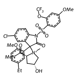 CCc1ccc(OC)c(C2([N+]3(C)C[C@H](O)C[C@H]3C(=O)NC)C(=O)N(S(=O)(=O)c3ccc(OC)cc3OC(F)(F)F)c3ccc(Cl)cc32)c1